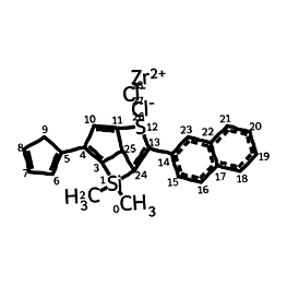 C[Si]1(C)C2=C(C3=CC=CC3)C=C3SC(c4ccc5ccccc5c4)=C1C32.[Cl-].[Cl-].[Zr+2]